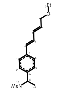 CCOCC=CC=Cc1ccc(C(C)NC)cc1